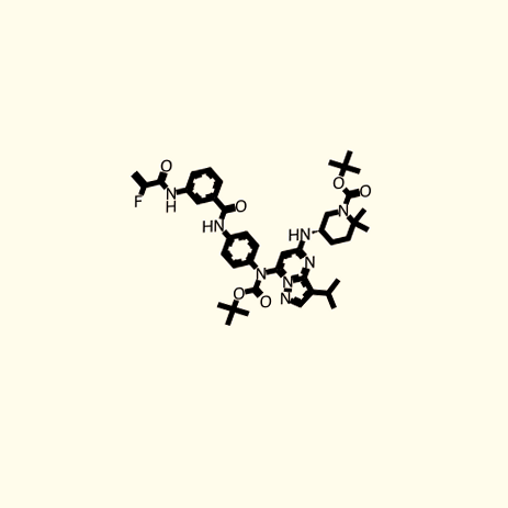 C=C(F)C(=O)Nc1cccc(C(=O)Nc2ccc(N(C(=O)OC(C)(C)C)c3cc(N[C@H]4CCC(C)(C)N(C(=O)OC(C)(C)C)C4)nc4c(C(C)C)cnn34)cc2)c1